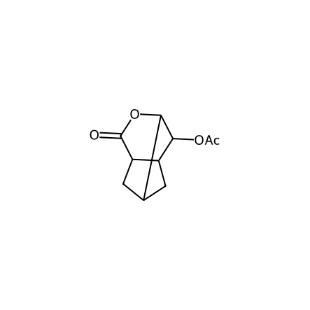 CC(=O)OC1C2CC3CC2C(=O)OC31